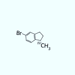 C[C@H]1CCc2cc(Br)ccc21